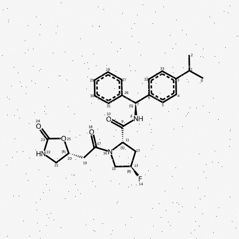 CC(C)c1ccc([C@@H](NC(=O)[C@@H]2C[C@@H](F)CN2C(=O)C[C@@H]2CNC(=O)O2)c2ccccc2)cc1